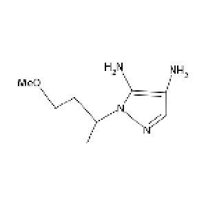 COCCC(C)n1ncc(N)c1N